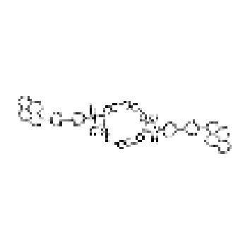 C=C1OCCOCCO[C@H](C(=O)Nc2ccc(-c3ccc(-c4ccc5ccc6cccc7ccc4c5c67)cc3)cc2)C(=C)OCCOCCOC1C(=O)Nc1ccc(-c2ccc(-c3ccc4ccc5cccc6ccc3c4c56)cc2)cc1